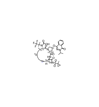 CC(C)n1nc(O[C@@H]2C[C@H]3C(=O)N[C@]4(C(=O)NS(=O)(=O)C5(C)CC5)C[C@H]4/C=C\CC[C@@H](C)C[C@@H](C)[C@H](N(C(=O)O)C(C)(C)C(F)(F)F)C(=O)N3C2)c2ccccc2c1=O